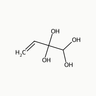 C=CC(O)(O)C(O)O